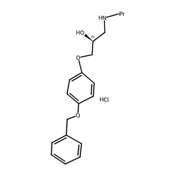 CC(C)NC[C@H](O)COc1ccc(OCc2ccccc2)cc1.Cl